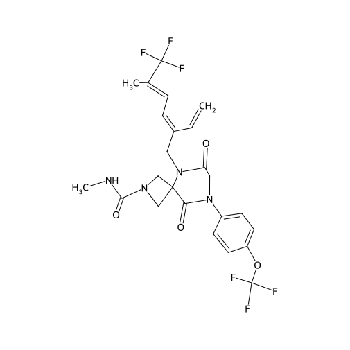 C=C/C(=C\C=C(/C)C(F)(F)F)CN1C(=O)CN(c2ccc(OC(F)(F)F)cc2)C(=O)C12CN(C(=O)NC)C2